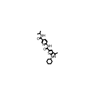 Cc1nn(C2CCCCC2)c2sc(C(=O)Nc3ccc(C(=O)NC(C)C)cn3)cc12